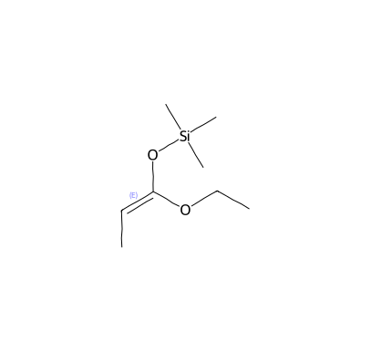 C/C=C(\OCC)O[Si](C)(C)C